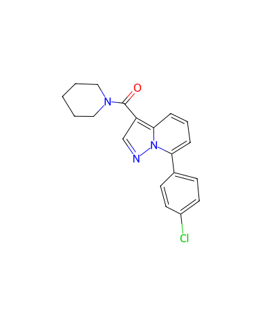 O=C(c1cnn2c(-c3ccc(Cl)cc3)cccc12)N1CCCCC1